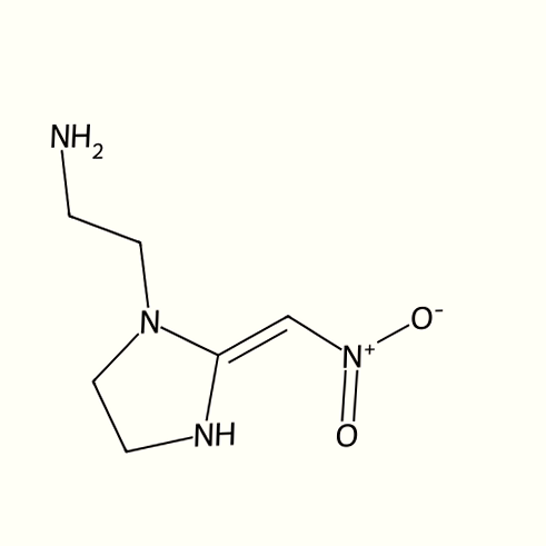 NCCN1CCNC1=C[N+](=O)[O-]